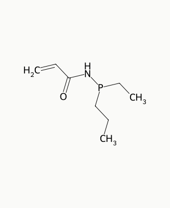 C=CC(=O)NP(CC)CCC